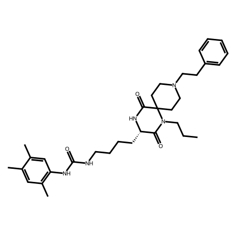 CCCN1C(=O)[C@H](CCCCNC(=O)Nc2cc(C)c(C)cc2C)NC(=O)C12CCN(CCc1ccccc1)CC2